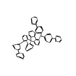 c1ccc(-c2ccc(N(c3ccc(-c4ccccc4)cc3)c3cccc4c3-c3ccccc3C43c4ccccc4-c4c(-c5cccc(-c6ccccc6)c5)cccc43)cc2)cc1